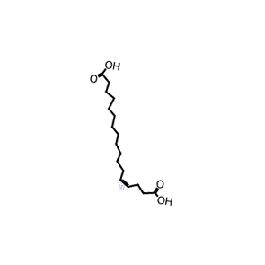 O=C(O)CC/C=C\CCCCCCCCCCCC(=O)O